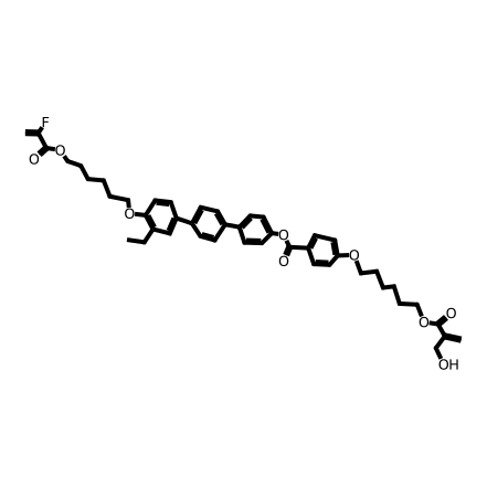 C=C(F)C(=O)OCCCCCCOc1ccc(-c2ccc(-c3ccc(OC(=O)c4ccc(OCCCCCCOC(=O)C(=C)CO)cc4)cc3)cc2)cc1CC